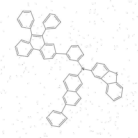 c1ccc(-c2ccc3cc(N(c4cccc(-c5ccc6c(c5)c(-c5ccccc5)c(-c5ccccc5)c5ccccc56)c4)c4ccc5sc6ccccc6c5c4)ccc3c2)cc1